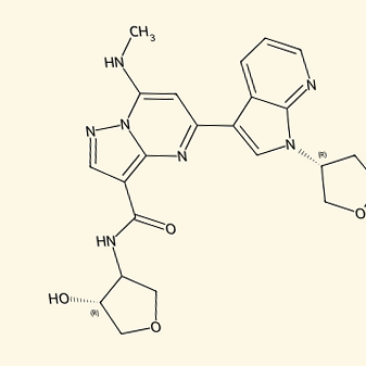 CNc1cc(-c2cn([C@@H]3CCOC3)c3ncccc23)nc2c(C(=O)NC3COC[C@@H]3O)cnn12